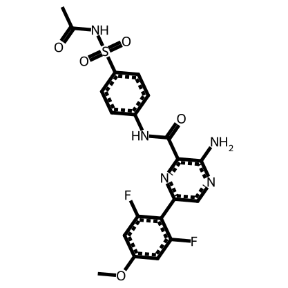 COc1cc(F)c(-c2cnc(N)c(C(=O)Nc3ccc(S(=O)(=O)NC(C)=O)cc3)n2)c(F)c1